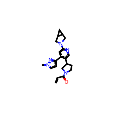 C=CC(=O)N1CCC(c2cnc(N3CC4CC4C3)cc2-c2ccn(C)n2)C1